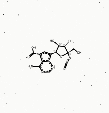 C[C@H]1[C@H](O)[C@H](c2cc(C(=O)O)c3c(N)ncnn23)O[C@@]1(CO)N=[N+]=[N-]